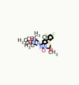 CO[C@@H]1CSc2c(-c3ccc(F)cc3F)c(C)cc3c(N4C[C@@H](C)N(C(=O)OC(C)(C)C)[C@@H](C)C4)nc(=O)n(c23)C1